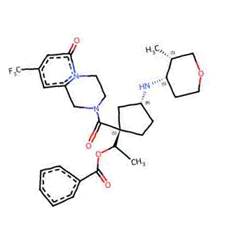 CC(OC(=O)c1ccccc1)[C@]1(C(=O)N2CCn3c(cc(C(F)(F)F)cc3=O)C2)CC[C@@H](N[C@H]2CCOC[C@H]2C)C1